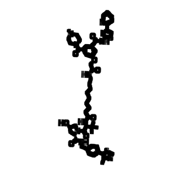 Cc1ncsc1-c1ccc(CNC(=O)[C@@H]2C[C@@H](O)CN2C(=O)[C@@H](NC(=O)CCCCCCCCNC(=O)COc2cc(C(=O)Nc3nc(-c4ccccn4)cs3)cc(C(=O)N3CCN(C)CC3)c2)C(C)(C)C)cc1